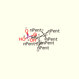 CCCCC[Si](CCCCC)(CCCCC)[SnH]([O]P(=O)(O)O)[Si](CCCCC)(CCCCC)CCCCC